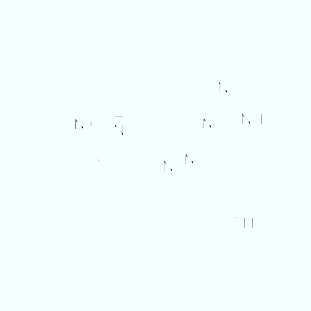 C=C(N)/N=C\N=C1/CC(C2=CC(=C)/C(=N\C=C/C)N2)=NN1C1CCC(O)C1